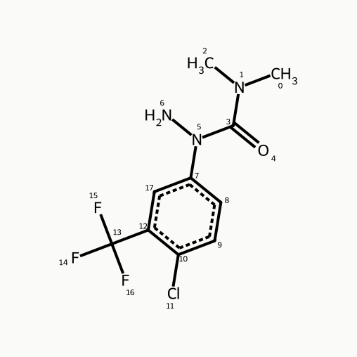 CN(C)C(=O)N(N)c1ccc(Cl)c(C(F)(F)F)c1